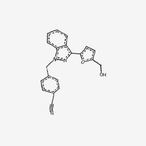 N#Cc1ccc(Cn2nc(-c3ccc(CO)o3)c3ccccc32)cc1